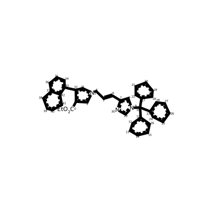 CCOC(=O)c1cn(C/C=C/c2cn(C(c3ccccc3)(c3ccccc3)c3ccccc3)cn2)cc1-c1cccc2ccccc12